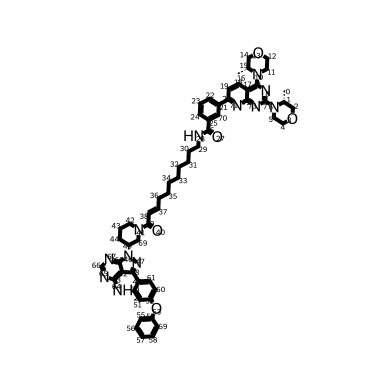 C[C@@H]1COCCN1c1nc(N2CCOC[C@H]2C)c2ccc(-c3cccc(C(=O)NCCCCCCCC/C=C/C(=O)N4CCC[C@@H](n5nc(-c6ccc(Oc7ccccc7)cc6)c6c(N)ncnc65)C4)c3)nc2n1